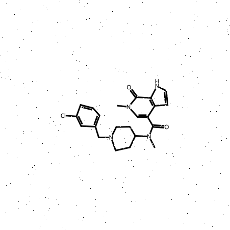 CN(C(=O)c1cn(C)c(=O)c2[nH]ccc12)C1CCN(Cc2cccc(Cl)c2)CC1